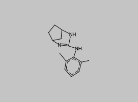 Cc1cccc(C)c1NC1=NC2CCC(C2)N1